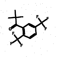 CC(C)(C)C(=O)c1cc(C(F)(F)F)ccc1C(F)(F)F